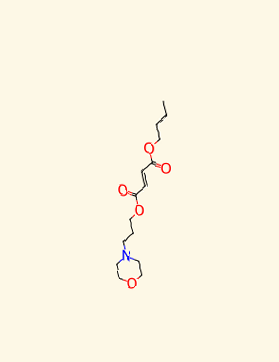 CCCCOC(=O)/C=C/C(=O)OCCCN1CCOCC1